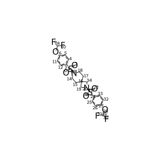 O=S(=O)(c1ccc(OC(F)F)cc1)N1CCC2(CC1)CN(S(=O)(=O)c1ccc(OC(F)F)cc1)C2